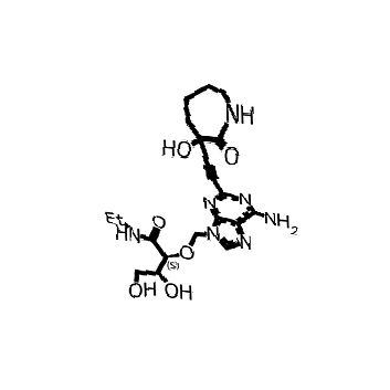 CCNC(=O)[C@@H](OCn1cnc2c(N)nc(C#CC3(O)CCCCNC3=O)nc21)C(O)CO